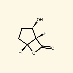 O=C1O[C@@H]2CC[C@@H](O)[C@H]12